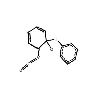 O=C=NC1C=CC=CC1(Cl)Oc1ccccc1